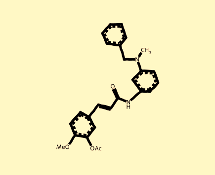 COc1ccc(C=CC(=O)Nc2cccc(N(C)Cc3ccccc3)c2)cc1OC(C)=O